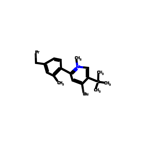 Cc1cc(CC(C)C)ccc1-c1cc(C(C)(C)C)c([Si](C)(C)C)c[n+]1C